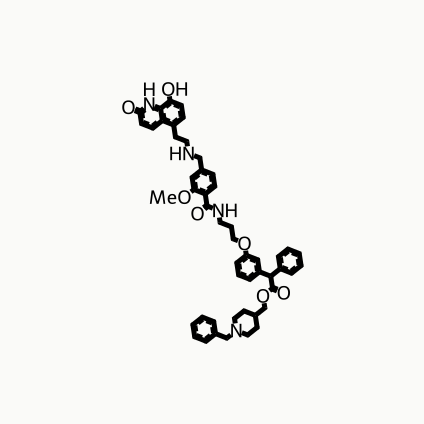 COc1cc(CNCCc2ccc(O)c3[nH]c(=O)ccc23)ccc1C(=O)NCCCOc1cccc(C(C(=O)OCC2CCN(Cc3ccccc3)CC2)c2ccccc2)c1